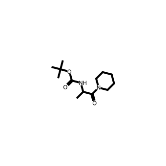 CC(NC(=O)OC(C)(C)C)C(=O)N1CCCCC1